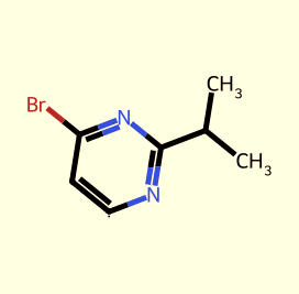 CC(C)c1n[c]cc(Br)n1